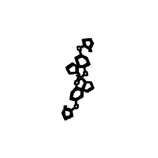 C1=CC[C]([Zr]([O]c2ccc(Oc3cccs3)cc2)([O]c2ccc(Oc3cccs3)cc2)[C]2=CC=CC2)=C1